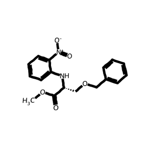 COC(=O)[C@@H](COCc1ccccc1)Nc1ccccc1[N+](=O)[O-]